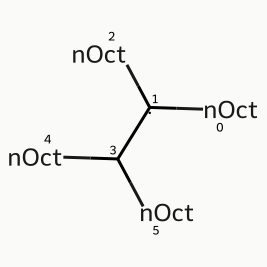 CCCCCCCC[C](CCCCCCCC)C(CCCCCCCC)CCCCCCCC